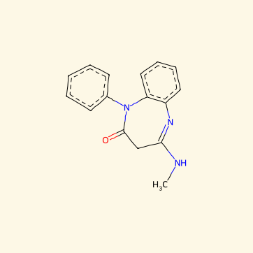 CNC1=Nc2ccccc2N(c2ccccc2)C(=O)C1